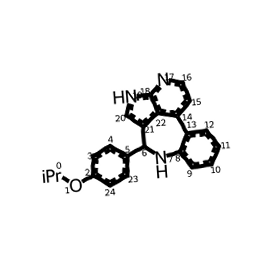 CC(C)Oc1ccc(C2Nc3ccccc3-c3ccnc4[nH]cc2c34)cc1